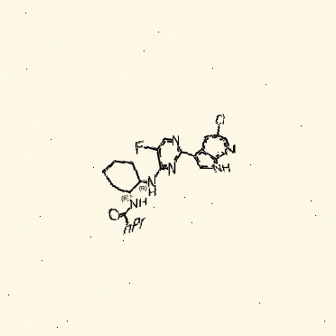 CCCC(=O)N[C@@H]1CCCC[C@H]1Nc1nc(-c2c[nH]c3ncc(Cl)cc23)ncc1F